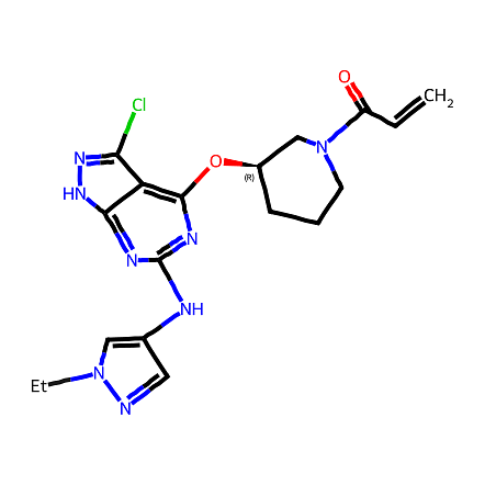 C=CC(=O)N1CCC[C@@H](Oc2nc(Nc3cnn(CC)c3)nc3[nH]nc(Cl)c23)C1